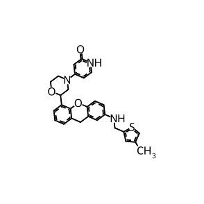 Cc1csc(CNc2ccc3c(c2)Cc2cccc(C4CN(c5cc[nH]c(=O)c5)CCO4)c2O3)c1